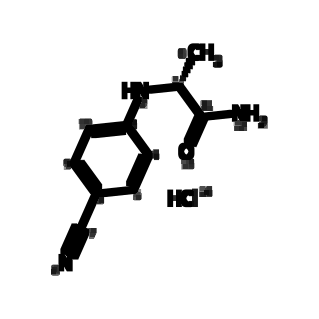 C[C@@H](Nc1ccc(C#N)cc1)C(N)=O.Cl